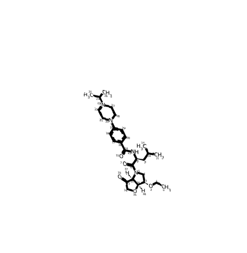 CCO[C@H]1CN(C(=O)[C@H](CC(C)C)NC(=O)c2ccc(N3CCN(C(C)C)CC3)cc2)[C@@H]2C(=O)CO[C@H]12